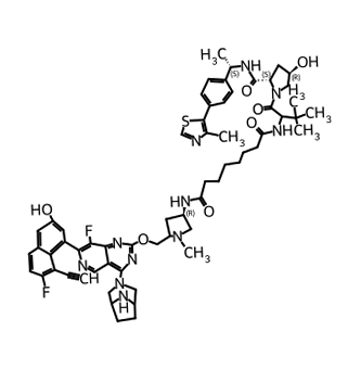 C#Cc1c(F)ccc2cc(O)cc(-c3ncc4c(N5CC6CCC(C5)N6)nc(OCC5C[C@@H](NC(=O)CCCCCCC(=O)NC(C(=O)N6C[C@H](O)C[C@H]6C(=O)N[C@@H](C)c6ccc(-c7scnc7C)cc6)C(C)(C)C)CN5C)nc4c3F)c12